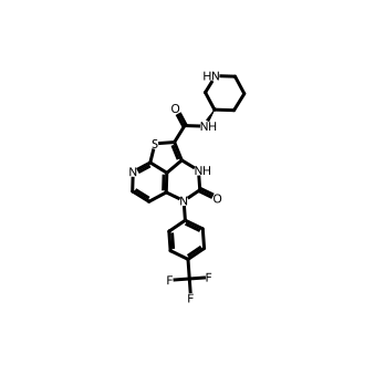 O=C(N[C@@H]1CCCNC1)c1sc2nccc3c2c1NC(=O)N3c1ccc(C(F)(F)F)cc1